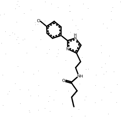 CCCC(=O)NCCc1c[nH]c(-c2ccc(Cl)cc2)n1